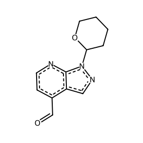 O=Cc1ccnc2c1cnn2C1CCCCO1